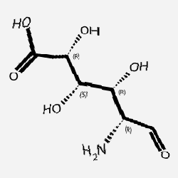 N[C@@H](C=O)[C@@H](O)[C@H](O)[C@@H](O)C(=O)O